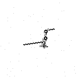 CCCCCCCCCCCCCCCC(=O)N[C@@H](/C=C/P(=O)(O)OCC)Cc1ccc(OCc2cc(OCCCCC)ccn2)cc1